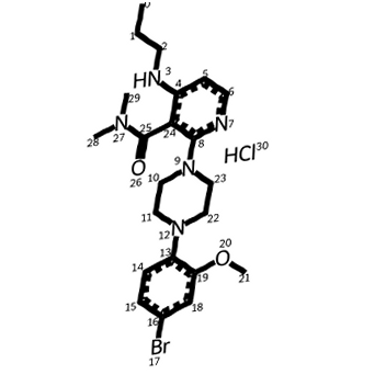 CCCNc1ccnc(N2CCN(c3ccc(Br)cc3OC)CC2)c1C(=O)N(C)C.Cl